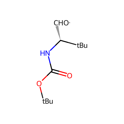 CC(C)(C)OC(=O)N[C@H]([C]=O)C(C)(C)C